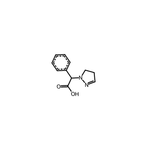 O=C(O)C(c1ccccc1)N1CCC=N1